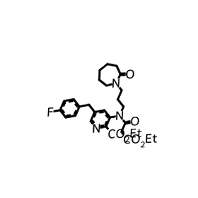 CCOC(=O)CC(=O)N(CCCN1CCCCCC1=O)c1cc(Cc2ccc(F)cc2)cnc1C(=O)OCC